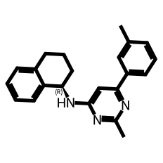 Cc1cccc(-c2cc(N[C@@H]3CCCc4ccccc43)nc(C)n2)c1